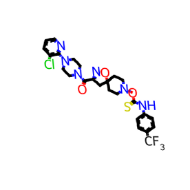 O=C(C1=NOC2(CCN(OC(=S)Nc3ccc(C(F)(F)F)cc3)CC2)C1)N1CCN(c2ncccc2Cl)CC1